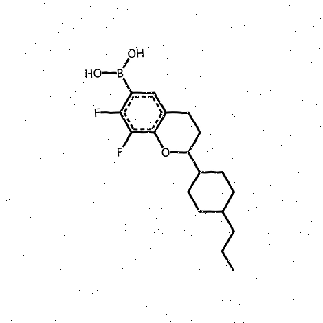 CCCC1CCC(C2CCc3cc(B(O)O)c(F)c(F)c3O2)CC1